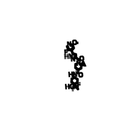 COc1cc(-c2cc(C(=O)N3CC[C@H](C(=O)N[C@H]4CC[C@](O)(C(C)(F)F)CC4)CC34CC4)n[nH]2)c(F)cn1